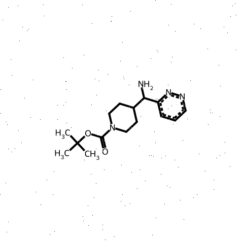 CC(C)(C)OC(=O)N1CCC(C(N)c2cccnn2)CC1